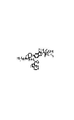 CO[C@@H]1C[C@H]2CN(c3cc4c(cc3NC(=O)c3cnn5cccnc35)CN(C[C@@H](F)C(C)(C)O)C4=O)CCN2C1